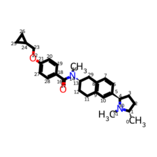 C[C@H]1CC[C@H](c2ccc3c(c2)CC[C@H](N(C)C(=O)c2ccc(OCC4CC4)cc2)C3)N1C